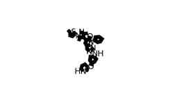 Cc1ccc(-n2nc(C)c(-c3cc4cnc(Nc5ccc(OC6CCCNC6)cc5)nc4n(-c4ccccc4)c3=O)c2C)s1